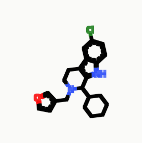 Clc1ccc2[nH]c3c(c2c1)CCN(Cc1ccoc1)C3C1CCCCC1